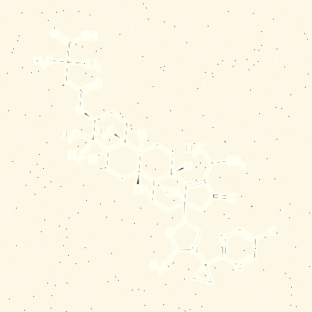 CC(C)C1=C2[C@H]3CC[C@@H]4[C@@]5(C)CC[C@H](OC(=O)CC(C)(C)C(=O)O)C(C)(C)[C@@H]5CC[C@@]4(C)[C@]3(C)CC[C@@]2([C@@H]2CN(C3(c4ncc(Cl)cn4)CC3)C(C)O2)CC1=O